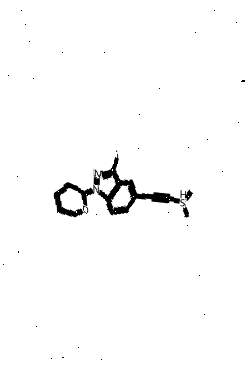 C[SiH](C)C#Cc1ccc2c(c1)c(I)nn2C1CCCCO1